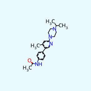 CC(=O)Nc1ccc(-c2cnc(N3CCN(C(C)C)CC3)cc2C)cc1